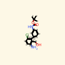 CC(C)(C)OC(=O)Nc1cccc(-c2c(Cl)ccc(N)c2CO)c1